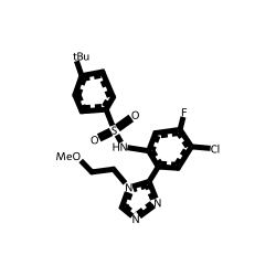 COCCn1cnnc1-c1cc(Cl)c(F)cc1NS(=O)(=O)c1ccc(C(C)(C)C)cc1